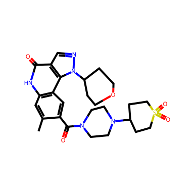 Cc1cc2[nH]c(=O)c3cnn(C4CCOCC4)c3c2cc1C(=O)N1CCN(C2CCS(=O)(=O)CC2)CC1